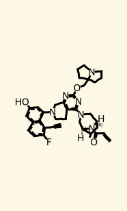 C#Cc1c(F)ccc2cc(O)cc(N3CCc4c(nc(OCC56CCCN5CCC6)nc4N4C[C@H]5CC(C)[C@@H](C4)N5C(=O)C=C)C3)c12